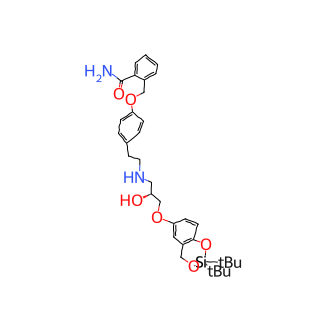 CC(C)(C)[Si]1(C(C)(C)C)OCc2cc(OC[C@@H](O)CNCCc3ccc(OCc4ccccc4C(N)=O)cc3)ccc2O1